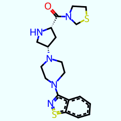 O=C([C@@H]1C[C@H](N2CCN(c3nsc4ccccc34)CC2)CN1)N1CCSC1